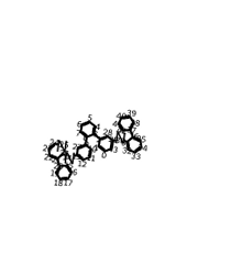 c1cc(-c2ccccc2-c2cccc(-n3c4ccccc4c4cccnc43)c2)cc(-n2c3ccccc3c3ccccc32)c1